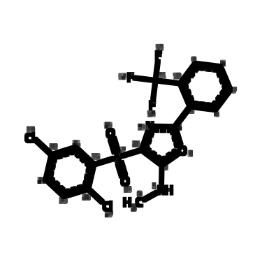 CNc1oc(-c2ccccc2C(F)(F)F)nc1S(=O)(=O)c1cc(Cl)ccc1Cl